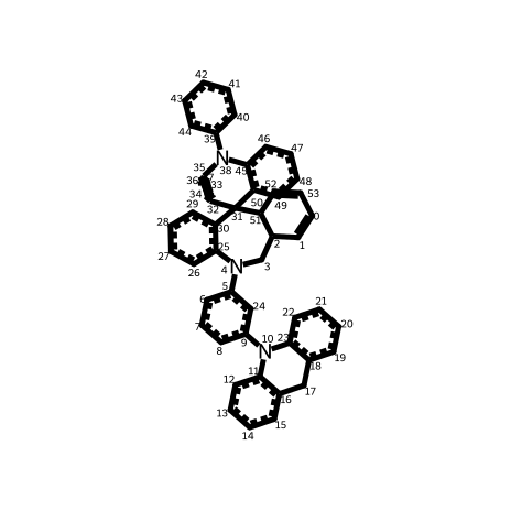 C1=CC2CN(c3cccc(N4c5ccccc5Cc5ccccc54)c3)c3ccccc3C3(c4ccccc4N(c4ccccc4)c4ccccc43)C2C=C1